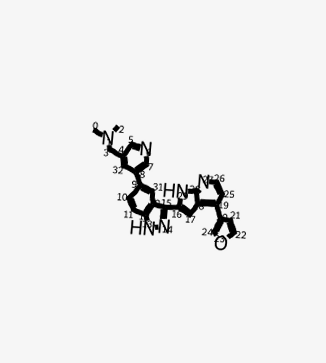 CN(C)Cc1cncc(-c2ccc3[nH]nc(-c4cc5c(-c6ccoc6)ccnc5[nH]4)c3c2)c1